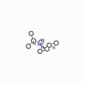 CC1(C)c2ccccc2-c2ccc3c(ccc4c5ccccc5n(-c5cncc(-c6cc(-c7ccccc7)cc(-c7ccccc7)n6)n5)c34)c21